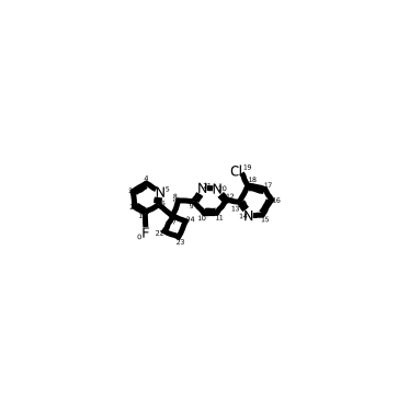 Fc1cccnc1C1([CH]c2ccc(-c3ncccc3Cl)nn2)CCC1